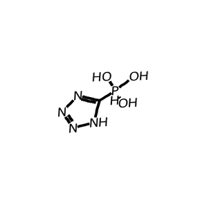 O[PH](O)(O)c1nnn[nH]1